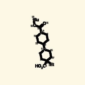 CCC1(C(=O)O)CCN(C2CCN(C(=O)OC(C)(C)C)CC2)CC1